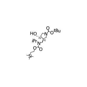 CC(C)N(C[C@@H]1CN(C(=O)OC(C)(C)C)C[C@H]1CO)C(=O)OCC[Si](C)(C)C